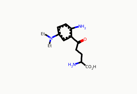 CCN(CC)c1ccc(N)c(C(=O)CCC(N)C(=O)O)c1